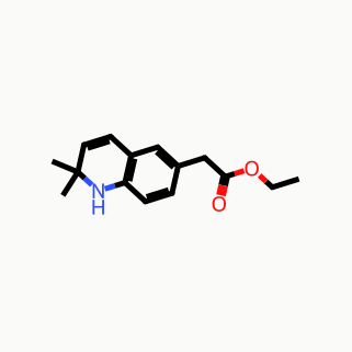 CCOC(=O)Cc1ccc2c(c1)C=CC(C)(C)N2